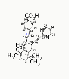 CC1(C)CCC(C)(C)c2cc(/C=C/c3ccc(C(=O)O)cc3)c(C#Cc3ncccn3)cc21